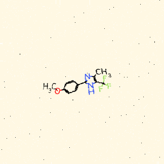 COc1ccc(-c2nc(C)c(C(F)(F)F)[nH]2)cc1